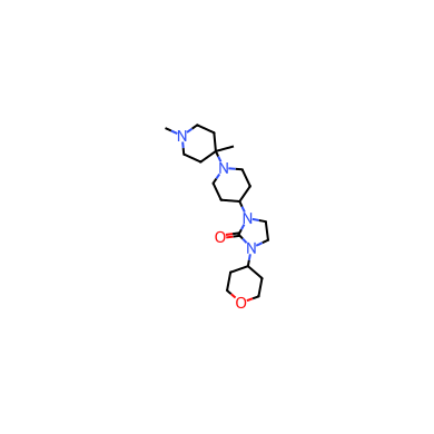 CN1CCC(C)(N2CCC(N3CCN(C4CCOCC4)C3=O)CC2)CC1